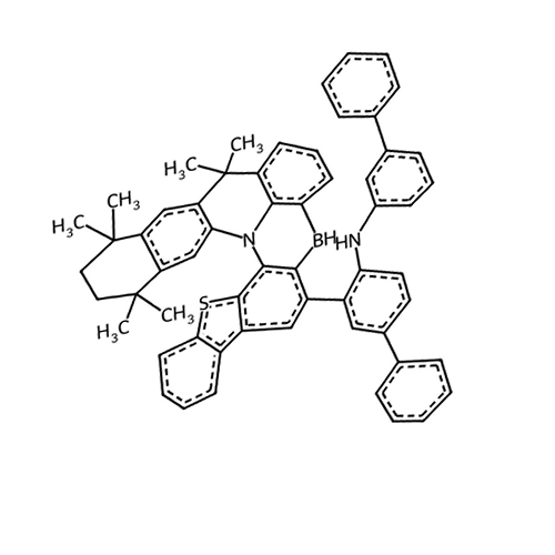 CC1(C)CCC(C)(C)c2cc3c(cc21)N1c2c(cccc2C3(C)C)Bc2c(-c3cc(-c4ccccc4)ccc3Nc3cccc(-c4ccccc4)c3)cc3c(sc4ccccc43)c21